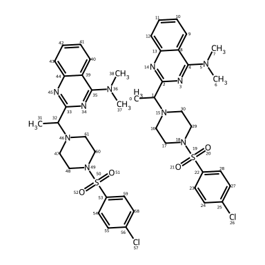 CC(c1nc(N(C)C)c2ccccc2n1)N1CCN(S(=O)(=O)c2ccc(Cl)cc2)CC1.CC(c1nc(N(C)C)c2ccccc2n1)N1CCN(S(=O)(=O)c2ccc(Cl)cc2)CC1